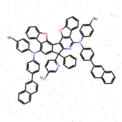 Cc1ccc(C2(c3ccccc3)c3cc(N(c4ccc(-c5ccc6ccccc6c5)cc4)c4ccc(C(C)(C)C)cc4)c4c(oc5ccccc54)c3-c3c2nc(N(c2ccc(-c4ccc5ccccc5c4)cc2)c2ccc(C(C)(C)C)cc2)c2c3oc3ccccc32)nc1